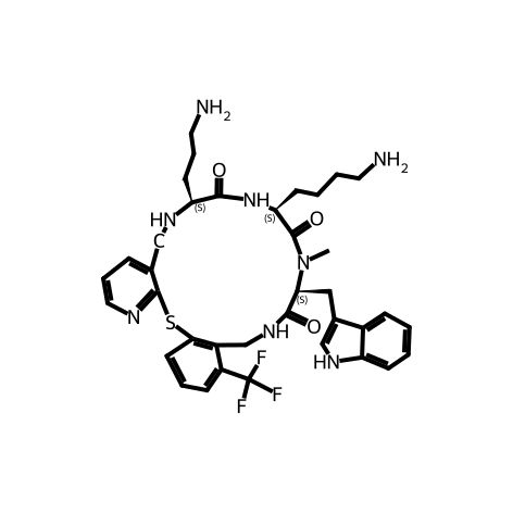 CN1C(=O)[C@H](CCCCN)NC(=O)[C@H](CCCN)NCc2cccnc2Sc2cccc(C(F)(F)F)c2CNC(=O)[C@@H]1Cc1c[nH]c2ccccc12